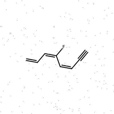 C#C/C=C\C(F)=C/C=C